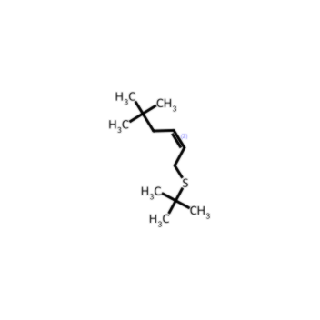 CC(C)(C)C/C=C\CSC(C)(C)C